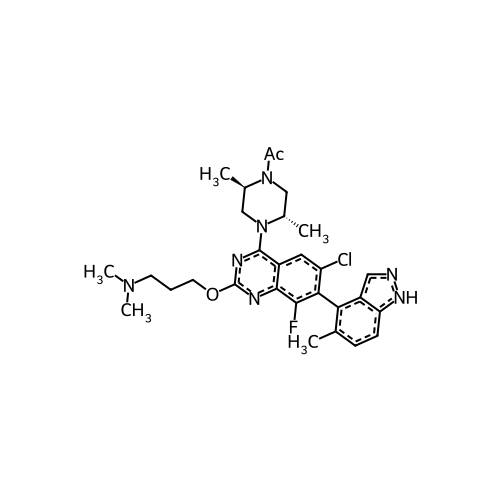 CC(=O)N1C[C@H](C)N(c2nc(OCCCN(C)C)nc3c(F)c(-c4c(C)ccc5[nH]ncc45)c(Cl)cc23)C[C@H]1C